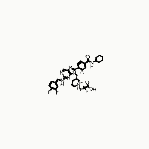 O=C(NC1CCCCC1)c1ccc(-c2nc3cnc(NCc4ccc(F)c(F)c4)nc3n2C[C@@H]2CCCNC2)c(Cl)c1.O=C(O)C(F)(F)F